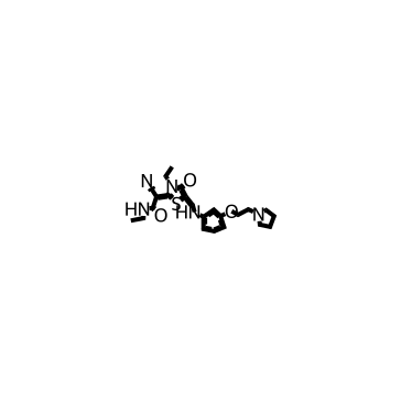 CCNC(=O)C(C#N)=c1sc(=CNc2cccc(OCCN3CCCC3)c2)c(=O)n1CC